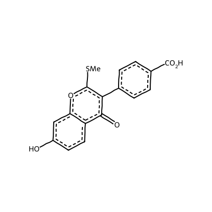 CSc1oc2cc(O)ccc2c(=O)c1-c1ccc(C(=O)O)cc1